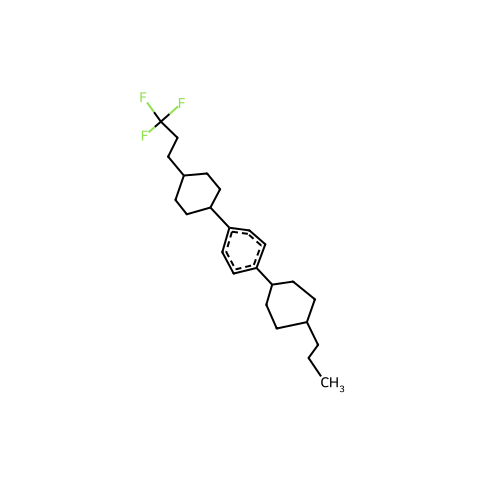 CCCC1CCC(c2ccc(C3CCC(CCC(F)(F)F)CC3)cc2)CC1